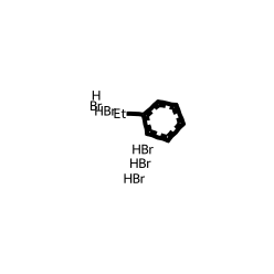 Br.Br.Br.Br.Br.CCc1ccccc1